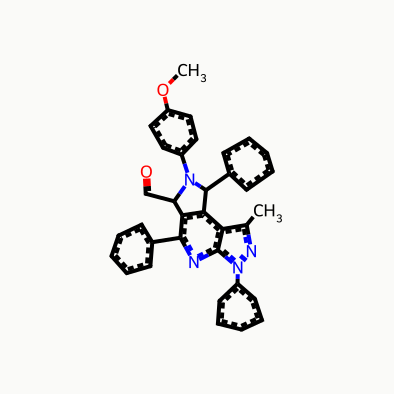 COc1ccc(N2C(C=O)c3c(-c4ccccc4)nc4c(c(C)nn4-c4ccccc4)c3C2c2ccccc2)cc1